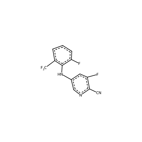 N#Cc1ncc(Nc2c(F)cccc2C(F)(F)F)cc1F